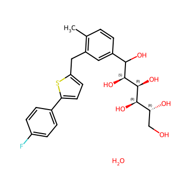 Cc1ccc(C(O)[C@H](O)[C@@H](O)[C@H](O)[C@H](O)CO)cc1Cc1ccc(-c2ccc(F)cc2)s1.O